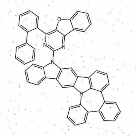 c1ccc(-c2ccccc2-c2nc(-n3c4ccccc4c4cc5c(cc43)c3cccc4c3n5-c3ccccc3-c3ccccc3-4)nc3c2oc2ccccc23)cc1